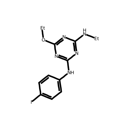 CCNc1nc(Nc2ccc(I)cc2)nc(OCC)n1